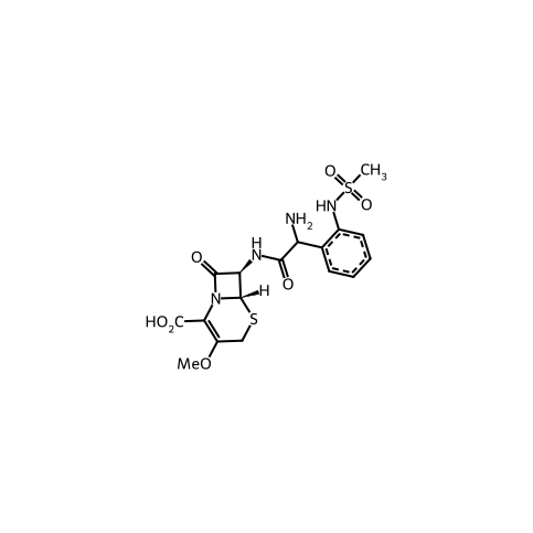 COC1=C(C(=O)O)N2C(=O)[C@@H](NC(=O)C(N)c3ccccc3NS(C)(=O)=O)[C@@H]2SC1